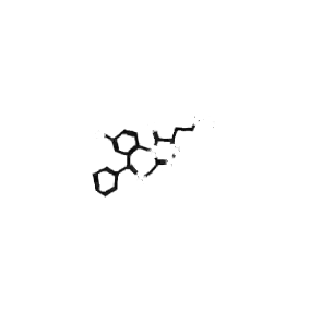 NCCc1nnc2n(c1=O)-c1ccc(Cl)cc1C(c1ccccc1)=NC2